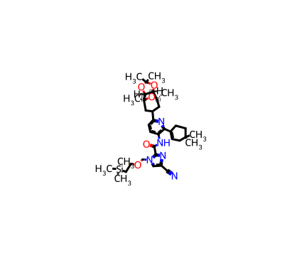 CC1(C)CC=C(c2nc(C3C[C@@]4(C)O[C@@](C)(C3)[C@@H]3OC(C)(C)O[C@@H]34)ccc2NC(=O)c2nc(C#N)cn2COCC[Si](C)(C)C)CC1